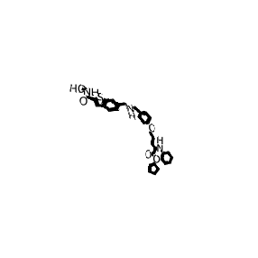 O=C(NO)c1cc2ccc(CNCc3ccc(OCCCC(NC4CCCCC4)C(=O)OC4CCCC4)cc3)cc2s1